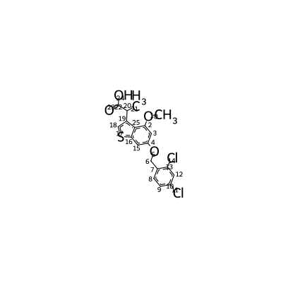 COc1cc(OCc2ccc(Cl)cc2Cl)cc2scc(C(C)C(=O)O)c12